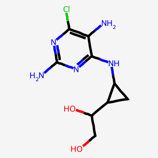 Nc1nc(Cl)c(N)c(NC2CC2C(O)CO)n1